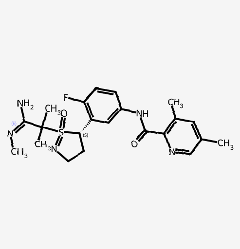 C/N=C(/N)C(C)(C)S1(=O)=NCC[C@H]1c1cc(NC(=O)c2ncc(C)cc2C)ccc1F